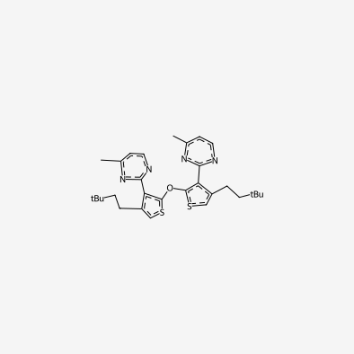 Cc1ccnc(-c2c(CCC(C)(C)C)csc2Oc2scc(CCC(C)(C)C)c2-c2nccc(C)n2)n1